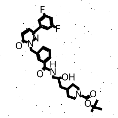 CC(C)(C)OC(=O)N1CCC(CC(O)CNC(=O)c2cccc(Cn3nc(-c4cc(F)cc(F)c4)ccc3=O)c2)CC1